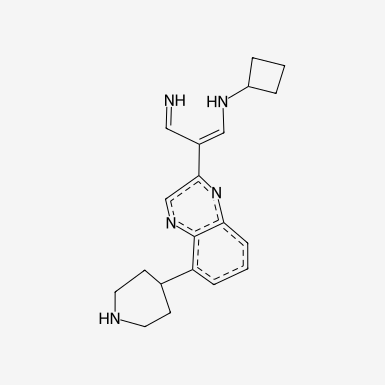 N=C/C(=C\NC1CCC1)c1cnc2c(C3CCNCC3)cccc2n1